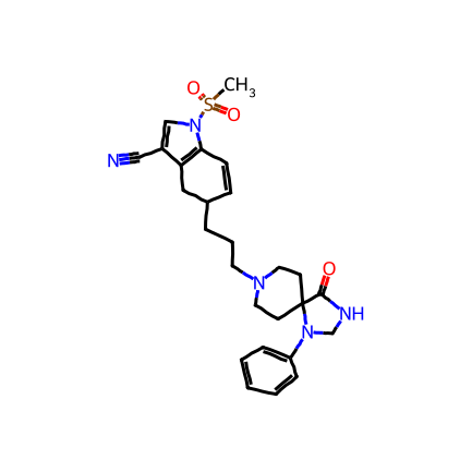 CS(=O)(=O)n1cc(C#N)c2c1C=CC(CCCN1CCC3(CC1)C(=O)NCN3c1ccccc1)C2